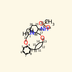 C[C@@H]1COc2ccccc2C2CCC(CC2)OCC2C(NS(C)(=O)=O)CCCN21